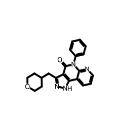 O=c1c2c(CC3CCOCC3)n[nH]c2c2cccnc2n1-c1ccccc1